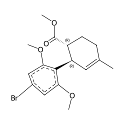 COC(=O)[C@@H]1CCC(C)=C[C@H]1c1c(OC)cc(Br)cc1OC